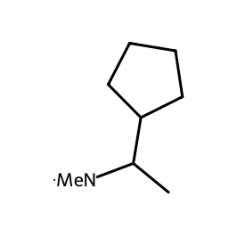 C[N]C(C)C1CCCC1